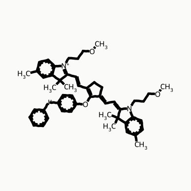 COCCCN1/C(=C/C=C2\CCC(/C=C/C3=[N+](CCCOC)c4ccc(C)cc4C3(C)C)=C2Oc2ccc([I+]c3ccccc3)cc2)C(C)(C)c2cc(C)ccc21